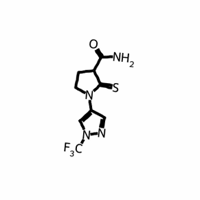 NC(=O)C1CCN(c2cnn(C(F)(F)F)c2)C1=S